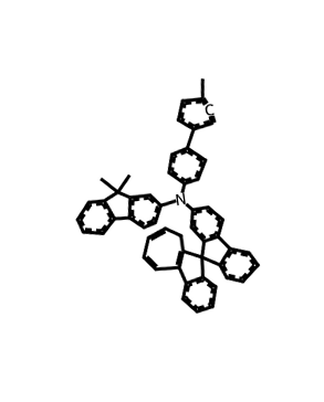 Cc1ccc(-c2ccc(N(c3ccc4c(c3)C(C)(C)c3ccccc3-4)c3ccc4c(c3)C3(C5=C(C=CC=CC5)c5ccccc53)c3ccccc3-4)cc2)cc1